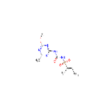 CC=C(C)S(=O)(=O)NC(=O)Nc1nc(C)nc(OCC)n1